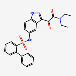 CCN(CC)C(=O)C(=O)c1c[nH]c2ccc(NS(=O)(=O)c3ccccc3-c3ccccc3)cc12